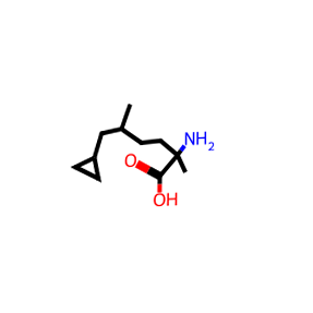 CC(CCC(C)(N)C(=O)O)CC1CC1